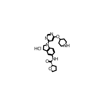 Cl.O=C(Nc1ccc2c(c1)CCN2c1cc(OC2CCNCC2)ncn1)[C@H]1CCCO1